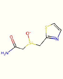 NC(=O)C[S+]([O-])Cc1nccs1